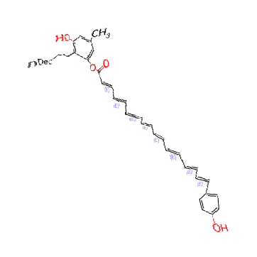 CCCCCCCCCCCCc1c(O)cc(C)cc1OC(=O)/C=C/C=C/C=C/C=C/C=C/C=C/C=C/C=C/c1ccc(O)cc1